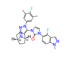 Cc1cc(-n2nc3c(c2-n2ccn(-c4ccc5c(cnn5C)c4F)c2=O)[C@@H]2CC[C@H](C3)N2)cc(C)c1F